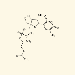 CC(=O)SCCOP(=O)(OC[C@@]1(CF)O[C@@H](n2cc(C)c(=O)[nH]c2=O)[C@@H](O)C1O)N(C)C